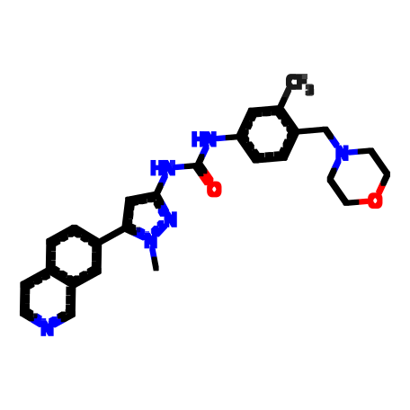 Cn1nc(NC(=O)Nc2ccc(CN3CCOCC3)c(C(F)(F)F)c2)cc1-c1ccc2ccncc2c1